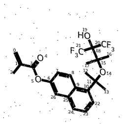 C=C(C)C(=O)Oc1ccc2c(C(C)(C)OC(C)(C)C(O)(C(F)(F)F)C(F)(F)F)cccc2c1